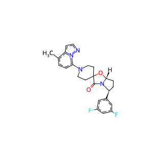 Cc1ccc(N2CCC3(CC2)O[C@@H]2CC[C@@H](c4cc(F)cc(F)c4)N2C3=O)n2nccc12